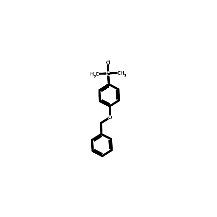 C[Si](C)(Cl)c1ccc(OCc2ccccc2)cc1